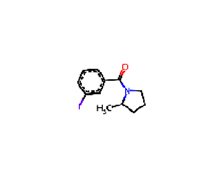 C[C@@H]1CCCN1C(=O)c1cccc(I)c1